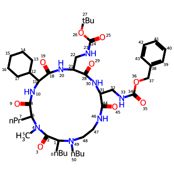 CCCCC1C(=O)N(C)C(CCC)C(=O)NC(C2CCCCC2)C(=O)NC(CNC(=O)OC(C)(C)C)C(=O)NC(CNC(=O)OCc2ccccc2)C(=O)NCCN1CCCC